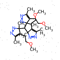 COCCC1=C(C)N=NC1(C)C(C1(C)N=NC(C)=C1CCOC)C1(C)N=NC(C)=C1CCOC